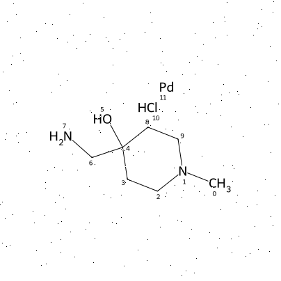 CN1CCC(O)(CN)CC1.Cl.[Pd]